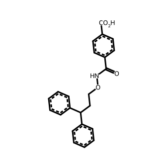 O=C(O)c1ccc(C(=O)NOCCC(c2ccccc2)c2ccccc2)cc1